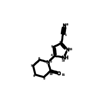 N#Cc1cc(N2CCCCC2=O)[nH]n1